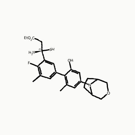 CCOC(=O)C[C@](N)(S)c1cc(-c2c(C)cc(N3C4CCC3COC4)cc2O)cc(C)c1F